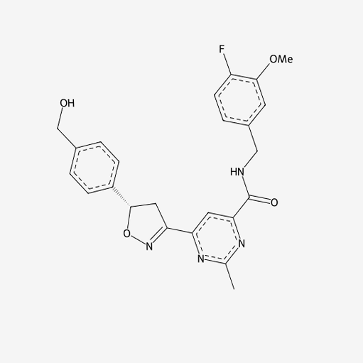 COc1cc(CNC(=O)c2cc(C3=NO[C@H](c4ccc(CO)cc4)C3)nc(C)n2)ccc1F